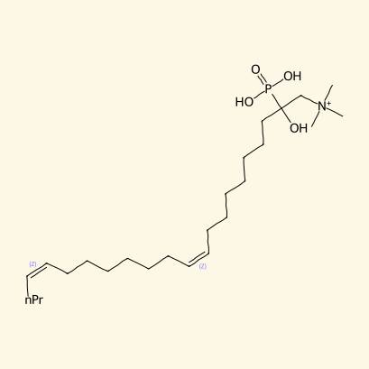 CCC/C=C\CCCCCC/C=C\CCCCCCCC(O)(C[N+](C)(C)C)P(=O)(O)O